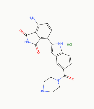 Cl.Nc1ccc(-c2cc3cc(C(=O)N4CCNCC4)ccc3[nH]2)c2c1C(=O)NC2=O